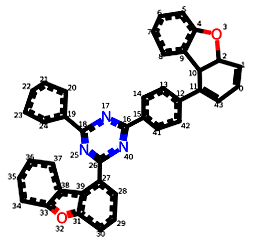 C1=CC2Oc3ccccc3C2C(c2ccc(-c3nc(-c4ccccc4)nc(-c4cccc5oc6ccccc6c45)n3)cc2)=C1